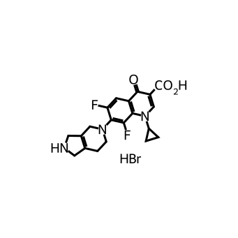 Br.O=C(O)c1cn(C2CC2)c2c(F)c(N3CCC4=C(CNC4)C3)c(F)cc2c1=O